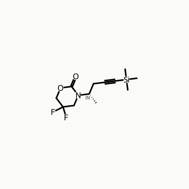 C[C@@H](CC#C[Si](C)(C)C)N1CC(F)(F)COC1=O